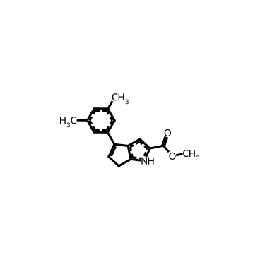 COC(=O)c1cc2c([nH]1)CC=C2c1cc(C)cc(C)c1